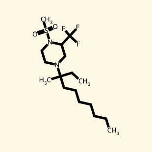 CCCCCCCC(C)(CC)N1CCN(S(C)(=O)=O)C(C(F)(F)F)C1